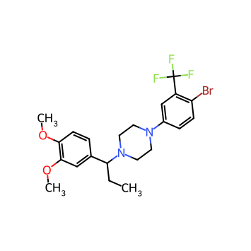 CCC(c1ccc(OC)c(OC)c1)N1CCN(c2ccc(Br)c(C(F)(F)F)c2)CC1